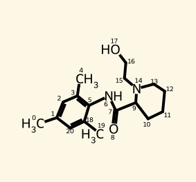 Cc1cc(C)c(NC(=O)C2CCCCN2CCO)c(C)c1